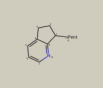 CCCCCC1CCc2cccnc21